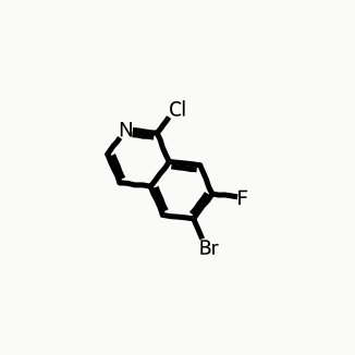 Fc1cc2c(Cl)nccc2cc1Br